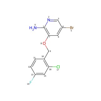 Nc1ncc(Br)cc1OCc1ccc(F)cc1Cl